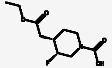 CCOC(=O)C[C@@H]1CCN(C(=O)O)C[C@@H]1F